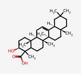 CC1(C)CC[C@]2(C)CC[C@]3(C)C(=CC[C@@H]4[C@@]5(C)CC[C@H](O)C(C)(C(=O)O)C5CC[C@]43C)[C@H]2C1